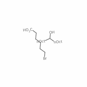 CCCCCCCCC(O)CCCCCCCC.O=C(O)CCCCCBr